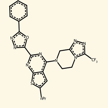 CCCc1cc2c(N3CCn4c(nnc4C(F)(F)F)C3)nc(-c3nnc(-c4ccccc4)o3)nc2s1